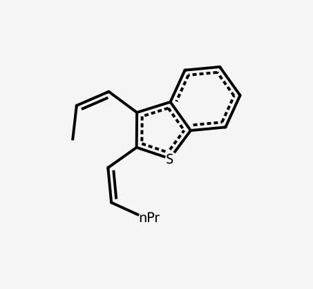 C/C=C\c1c(/C=C\CCC)sc2ccccc12